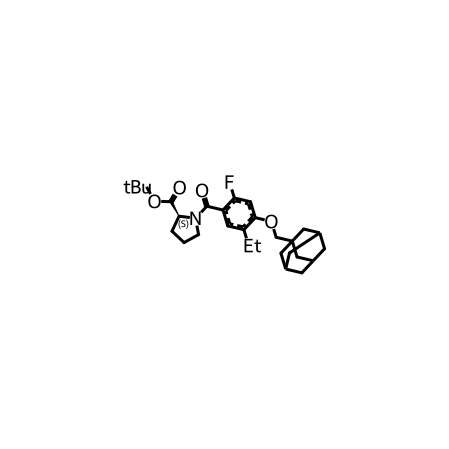 CCc1cc(C(=O)N2CCC[C@H]2C(=O)OC(C)(C)C)c(F)cc1OCC12CC3CC(CC(C3)C1)C2